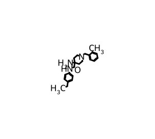 CCc1ccc(NC(=O)C2(N)CCN(Cc3ccccc3C)CC2)cc1